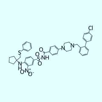 O=C(NS(=O)(=O)c1ccc(NC2(CSc3ccccc3)CCCC2)c([N+](=O)[O-])c1)c1ccc(N2CCN(Cc3ccccc3-c3ccc(Cl)cc3)CC2)cc1